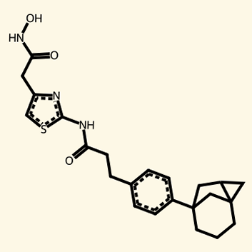 O=C(Cc1csc(NC(=O)CCc2ccc(C34CCCC5(CC5C3)C4)cc2)n1)NO